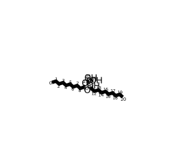 CCCCCCCCCCOCCCCCCCCCC.O=P(O)(O)O